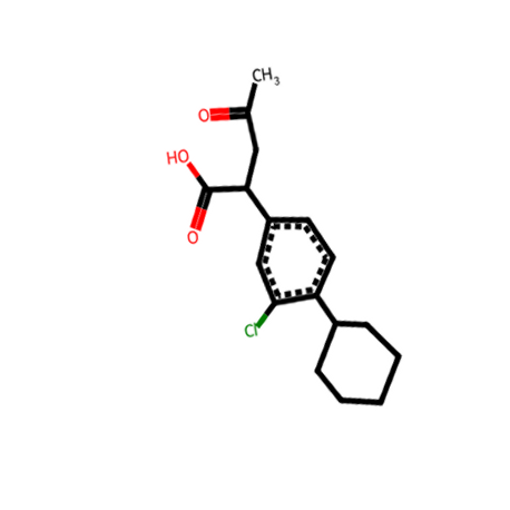 CC(=O)CC(C(=O)O)c1ccc(C2CCCCC2)c(Cl)c1